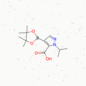 CC(C)n1ncc(B2OC(C)(C)C(C)(C)O2)c1C(=O)O